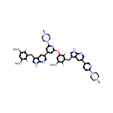 COc1cc(OC)c(F)c(Cc2c[nH]c3ncc(-c4cc(Oc5cc(OC)c(F)c(Cc6c[nH]c7ncc(-c8ccc(N9CCN(C)CC9)nc8)cc67)c5F)nc(N5CCN(C)CC5)c4)cc23)c1F